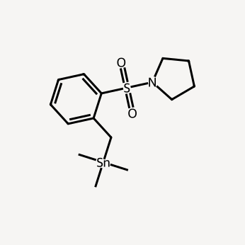 [CH3][Sn]([CH3])([CH3])[CH2]c1ccccc1S(=O)(=O)N1CCCC1